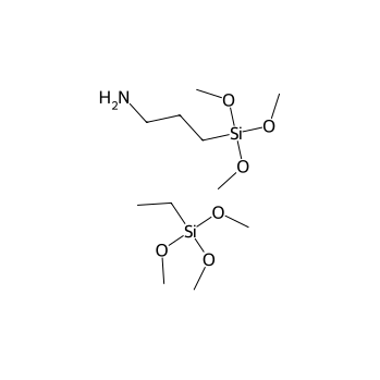 CC[Si](OC)(OC)OC.CO[Si](CCCN)(OC)OC